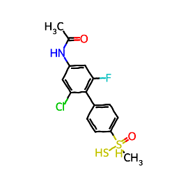 CC(=O)Nc1cc(F)c(-c2ccc([SH](C)(=O)S)cc2)c(Cl)c1